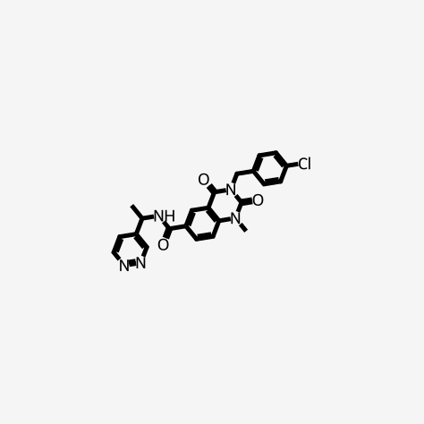 CC(NC(=O)c1ccc2c(c1)c(=O)n(Cc1ccc(Cl)cc1)c(=O)n2C)c1ccnnc1